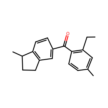 CCc1cc(C)ccc1C(=O)c1ccc2c(c1)CCC2C